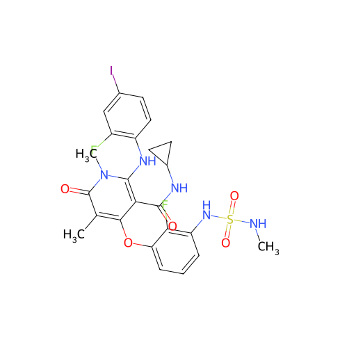 CNS(=O)(=O)Nc1cccc(Oc2c(C(=O)NC3CC3)c(Nc3ccc(I)cc3F)n(C)c(=O)c2C)c1F